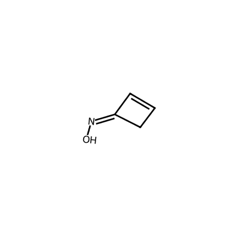 O/N=C1/C=CC1